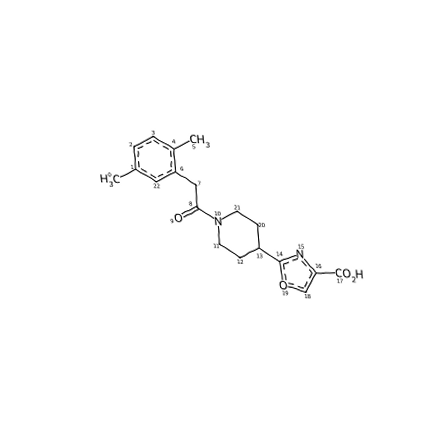 Cc1ccc(C)c(CC(=O)N2CCC(c3nc(C(=O)O)co3)CC2)c1